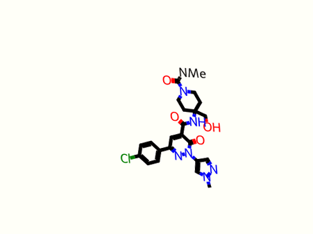 CNC(=O)N1CCC(CO)(NC(=O)c2cc(-c3ccc(Cl)cc3)nn(-c3cnn(C)c3)c2=O)CC1